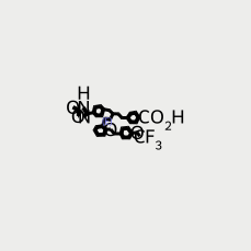 O=C(O)c1ccc(CCC(/C=C/c2ccccc2OCc2ccc(OC(F)(F)F)cc2)Cc2ccc(-c3noc(=O)[nH]3)cc2)cc1